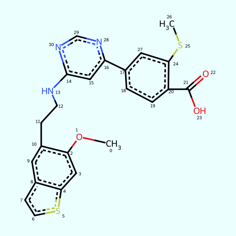 COc1cc2sccc2cc1CCNc1cc(-c2ccc(C(=O)O)c(SC)c2)ncn1